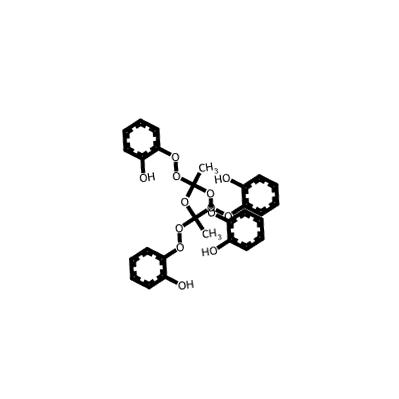 CC(OOc1ccccc1O)(OOc1ccccc1O)OC(C)(OOc1ccccc1O)OOc1ccccc1O